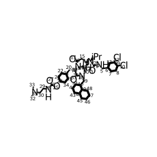 CC(C)N(C(=O)NCc1ccc(Cl)c(Cl)c1)N1CC(=O)N2[C@@H](Cc3ccc(OC(=O)NCCN(C)C)cc3)C(=O)N(Cc3cccc4ccccc34)C[C@@H]21